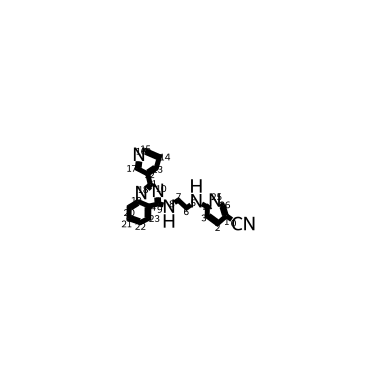 N#Cc1ccc(NCCNc2nc(-c3cccnc3)nc3ccccc23)nc1